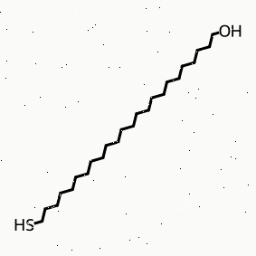 OCCCCCCCCCCCCCCCCCCCCCCCCS